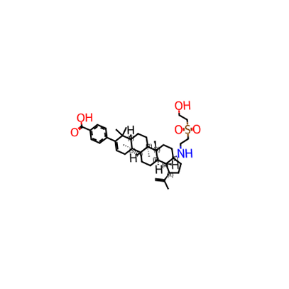 C=C(C)[C@@H]1CC[C@]2(NCCS(=O)(=O)CCO)CC[C@]3(C)[C@H](CC[C@@H]4[C@@]5(C)CC=C(c6ccc(C(=O)O)cc6)C(C)(C)[C@@H]5CC[C@]43C)[C@@H]12